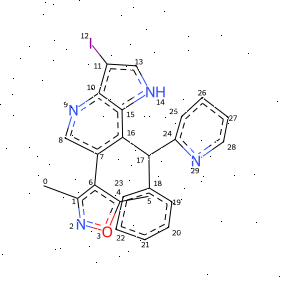 Cc1noc(C)c1-c1cnc2c(I)c[nH]c2c1C(c1ccccc1)c1ccccn1